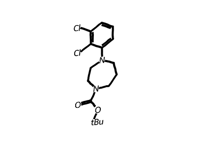 CC(C)(C)OC(=O)N1CCCN(c2cccc(Cl)c2Cl)CC1